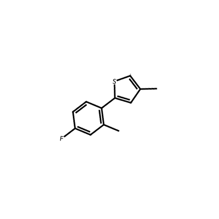 Cc1[c]sc(-c2ccc(F)cc2C)c1